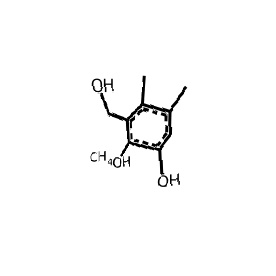 C.Cc1cc(O)c(O)c(CO)c1C